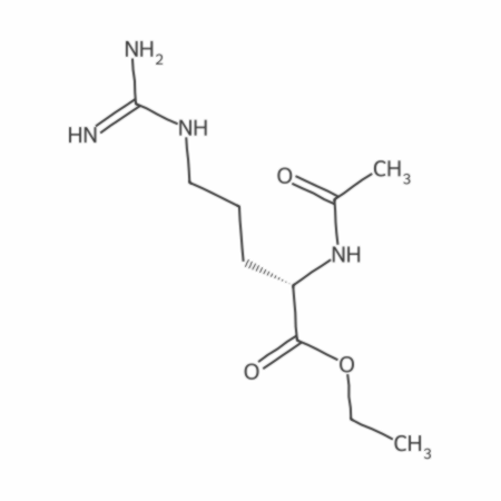 CCOC(=O)[C@H](CCCNC(=N)N)NC(C)=O